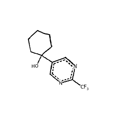 OC1(c2cnc(C(F)(F)F)nc2)CCCCC1